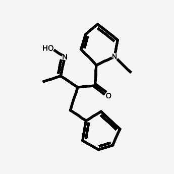 C/C(=N\O)C(Cc1ccccc1)C(=O)C1C=CC=CN1C